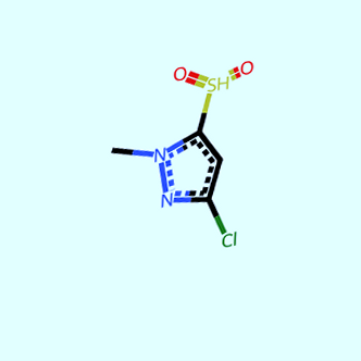 Cn1nc(Cl)cc1[SH](=O)=O